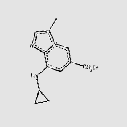 CCOC(=O)c1cc(NC2CC2)c2ncc(C)n2c1